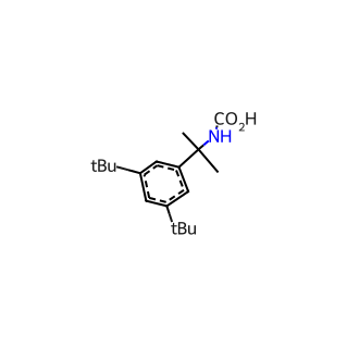 CC(C)(C)c1cc(C(C)(C)C)cc(C(C)(C)NC(=O)O)c1